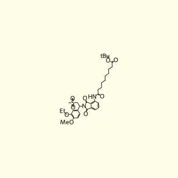 CCOc1cc(C(CS(C)(=O)=O)N2C(=O)c3cccc(NC(=O)CCCCCCCCC(=O)OC(C)(C)C)c3C2=O)ccc1OC